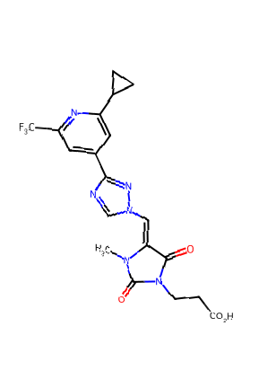 CN1C(=O)N(CCC(=O)O)C(=O)C1=Cn1cnc(-c2cc(C3CC3)nc(C(F)(F)F)c2)n1